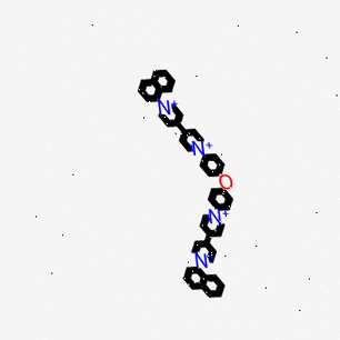 c1ccc2c(-[n+]3ccc(-c4cc[n+](-c5ccc(Oc6ccc(-[n+]7ccc(-c8cc[n+](-c9cccc%10ccccc9%10)cc8)cc7)cc6)cc5)cc4)cc3)cccc2c1